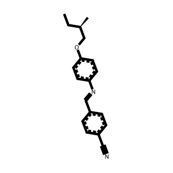 CC[C@@H](C)COc1ccc(N=Cc2ccc(C#N)cc2)cc1